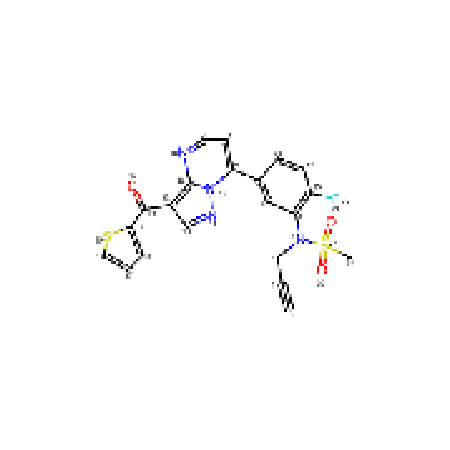 C#CCN(c1cc(-c2ccnc3c(C(=O)c4cccs4)cnn23)ccc1F)S(C)(=O)=O